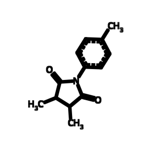 Cc1ccc(N2C(=O)C(C)C(C)C2=O)cc1